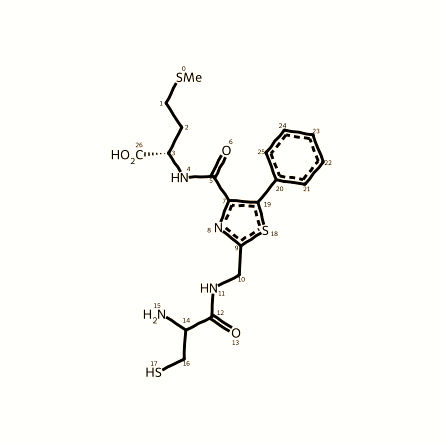 CSCC[C@H](NC(=O)c1nc(CNC(=O)C(N)CS)sc1-c1ccccc1)C(=O)O